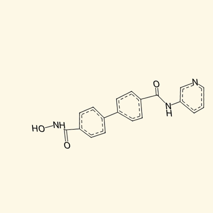 O=C(NO)c1ccc(-c2ccc(C(=O)Nc3cccnc3)cc2)cc1